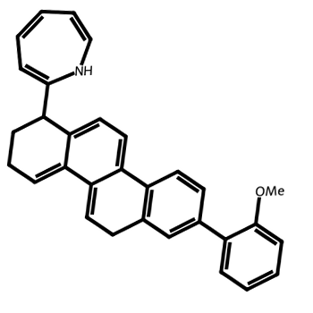 COc1ccccc1-c1ccc2c(c1)CC=c1c-2ccc2c1=CCCC2C1=CC=CC=CN1